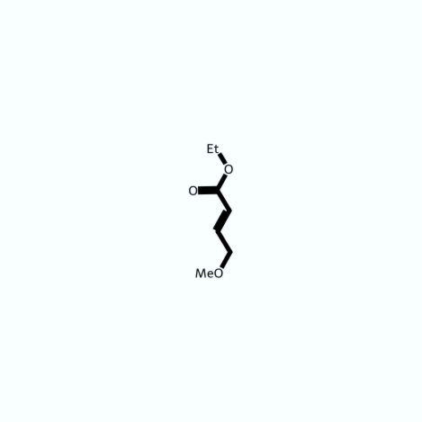 CCOC(=O)C=CCOC